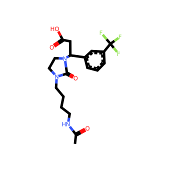 CC(=O)NCCCCN1CCN(C(CC(=O)O)c2cccc(C(F)(F)F)c2)C1=O